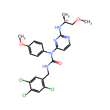 COC[C@H](C)Nc1nccc(N(C(=O)NCc2cc(Cl)c(Cl)cc2Cl)c2ccc(OC)cc2)n1